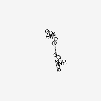 COc1ccc2nc(-c3cccc(OCCCCCCCOc4cccc(-c5nc6ccc(OC)cc6[nH]5)c4)c3)[nH]c2c1